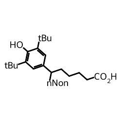 CCCCCCCCCC(CCCCC(=O)O)c1cc(C(C)(C)C)c(O)c(C(C)(C)C)c1